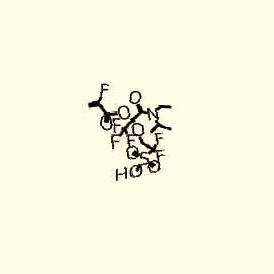 C=C(F)C(=O)OC(OCC(F)(F)S(=O)(=O)O)(C(=O)N(CC)C(C)C)C(F)(F)F